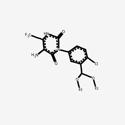 CCOC(OCC)c1cc(-n2c(=O)[nH]c(C(F)(F)F)c(N)c2=O)ccc1Cl